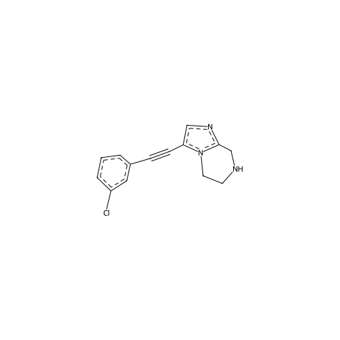 Clc1cccc(C#Cc2cnc3n2CCNC3)c1